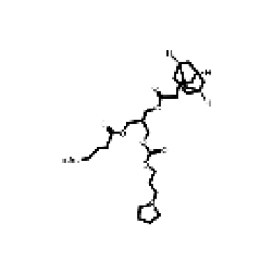 CCCCCCCCCCCCCC(=O)OCC(COC(=O)CC12C[C@H]3C[C@@H](C1)C[C@@H](C2)C3)COC(=O)OCCCN1CCCC1